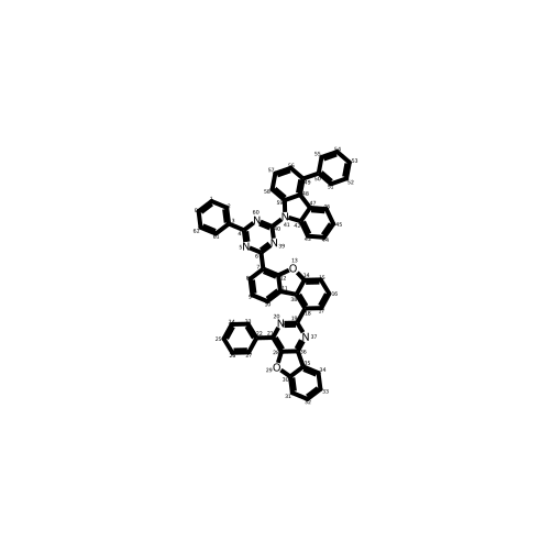 c1ccc(-c2nc(-c3cccc4c3oc3cccc(-c5nc(-c6ccccc6)c6oc7ccccc7c6n5)c34)nc(-n3c4ccccc4c4c(-c5ccccc5)cccc43)n2)cc1